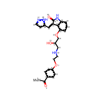 CNC(=O)c1ccc(OCCNCC(O)COc2cccc3c2C(=Cc2ccn[nH]2)C(=O)N3)cc1